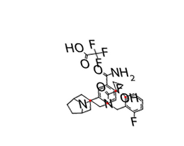 NC(=O)c1cccc(C2CC3CCC(C2)N3CCN(Cc2c(F)cccc2F)C(=O)C2(O)CC2)c1.O=C(O)C(F)(F)F